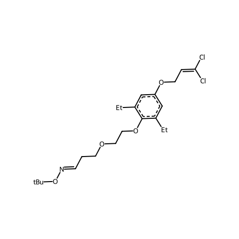 CCc1cc(OCC=C(Cl)Cl)cc(CC)c1OCCOCCC=NOC(C)(C)C